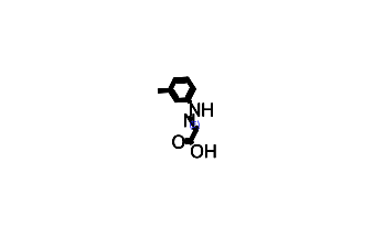 Cc1cccc(N/N=C/C(=O)O)c1